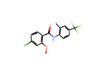 COc1cc(Cl)ccc1C(=O)Nc1ccc(C(F)(F)F)cc1C